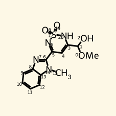 COC(O)C1=CC(c2nc3ccccc3n2C)=NS(=O)(=O)N1